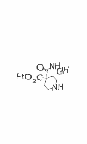 CCOC(=O)C1(C(N)=O)CCNCC1.Cl